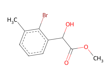 COC(=O)C(O)c1cccc(C)c1Br